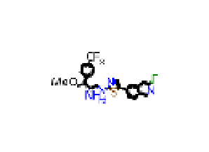 COC[C@@H](c1ccc(C(F)(F)F)cc1)[C@@H](N)CNc1ncc(-c2ccc3cnc(F)cc3c2)s1